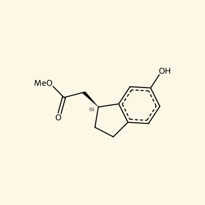 COC(=O)C[C@@H]1CCc2ccc(O)cc21